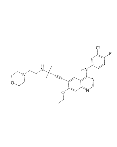 CCOc1cc2ncnc(Nc3ccc(F)c(Cl)c3)c2cc1C#CC(C)(C)NCCN1CCOCC1